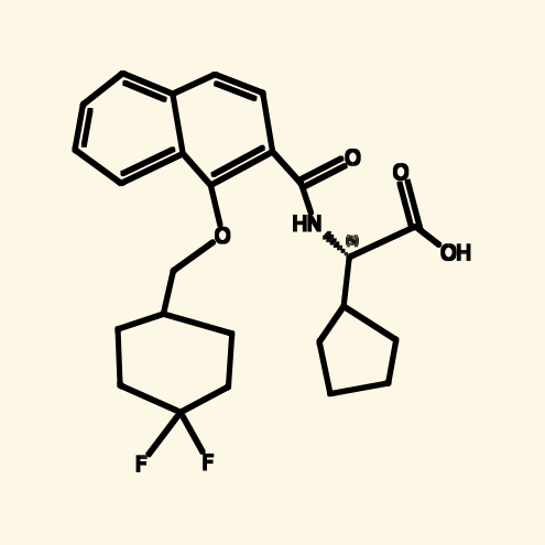 O=C(N[C@H](C(=O)O)C1CCCC1)c1ccc2ccccc2c1OCC1CCC(F)(F)CC1